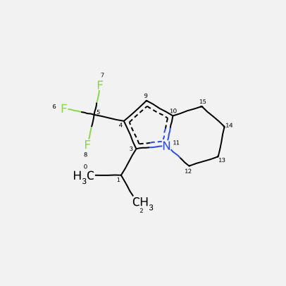 CC(C)c1c(C(F)(F)F)cc2n1CCCC2